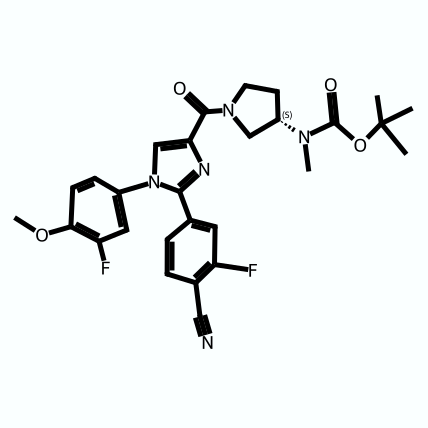 COc1ccc(-n2cc(C(=O)N3CC[C@H](N(C)C(=O)OC(C)(C)C)C3)nc2-c2ccc(C#N)c(F)c2)cc1F